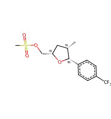 C[C@H]1C[C@@H](COS(C)(=O)=O)O[C@H]1c1ccc(C(F)(F)F)cc1